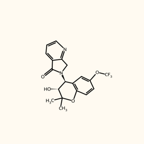 CC1(C)Oc2ccc(OC(F)(F)F)cc2[C@H](N2Cc3ncccc3C2=O)[C@H]1O